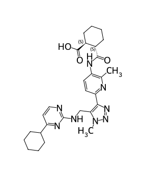 Cc1nc(-c2nnn(C)c2CNc2nccc(C3CCCCC3)n2)ccc1NC(=O)[C@H]1CCCC[C@@H]1C(=O)O